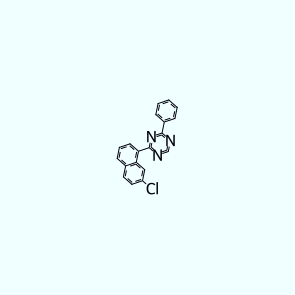 Clc1ccc2cccc(-c3ncnc(-c4ccccc4)n3)c2c1